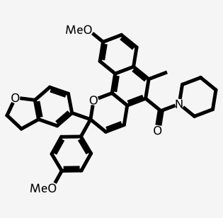 COc1ccc(C2(c3ccc4c(c3)CCO4)C=Cc3c(C(=O)N4CCCCC4)c(C)c4ccc(OC)cc4c3O2)cc1